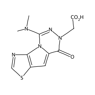 CN(C)c1nn(CC(=O)O)c(=O)c2cc3scnc3n12